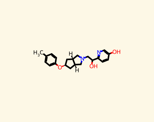 Cc1ccc(O[C@H]2C[C@@H]3CN(CC(O)c4ccc(O)cn4)C[C@@H]3C2)cc1